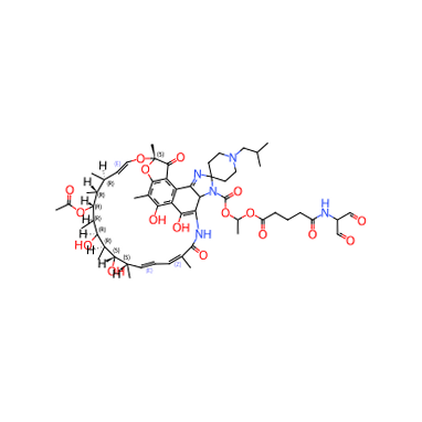 CC(=O)O[C@H]1[C@H](C)[C@H](O)[C@H](C)[C@@H](O)[C@@H](C)/C=C/C=C(/C)C(=O)NC2=C(O)c3c(O)c(C)c4c(c3C3=NC5(CCN(CC(C)C)CC5)N(C(=O)OC(C)OC(=O)CCCC(=O)NC(C=O)C=O)C32)C(=O)[C@@](C)(O/C=C/[C@H](C)[C@H]1C)O4